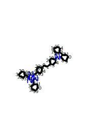 C(=Cc1ccc(-n2c3ccccc3c3ccccc32)cc1)c1ccc(-c2nc(-c3ccccc3)nc(-c3ccccc3)n2)cc1